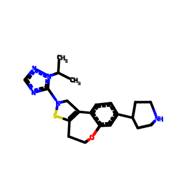 CC(C)n1ncnc1N1CC2=C(CCOc3cc(C4CCNCC4)ccc32)S1